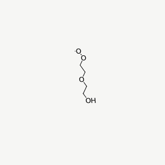 [O]OCCOCCO